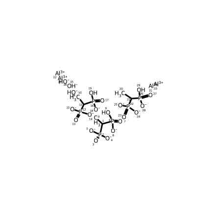 CC(P(=O)([O-])[O-])P(=O)([O-])O.CC(P(=O)([O-])[O-])P(=O)([O-])O.CC(P(=O)([O-])[O-])P(=O)([O-])O.[Al+3].[Al+3].[Al+3].[Al+3].[OH-].[OH-].[OH-]